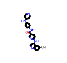 N#Cc1ccc2nccc(Nc3ccc(C(=O)Nc4ccc(Nc5ccncc5)cc4)cn3)c2c1